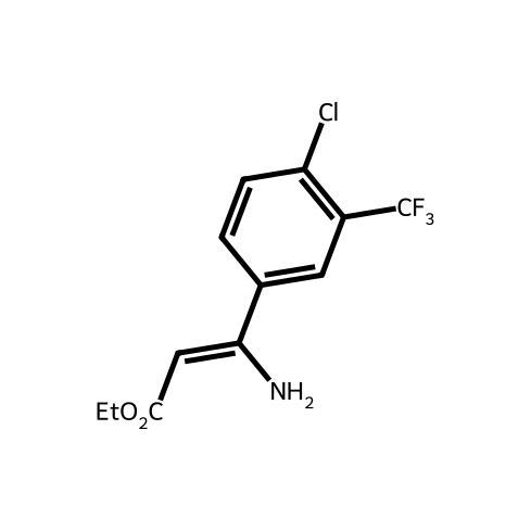 CCOC(=O)C=C(N)c1ccc(Cl)c(C(F)(F)F)c1